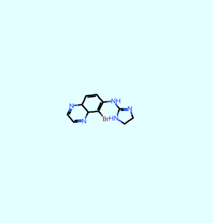 BrC1=C(NC2=NCCN2)C=CC2N=CC=NC12